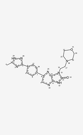 Cc1nc(-c2ccc(-c3cnc4[nH]c(=O)n(CCN5CCOCC5)c4n3)cc2)n[nH]1